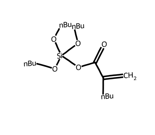 C=C(CCCC)C(=O)O[Si](OCCCC)(OCCCC)OCCCC